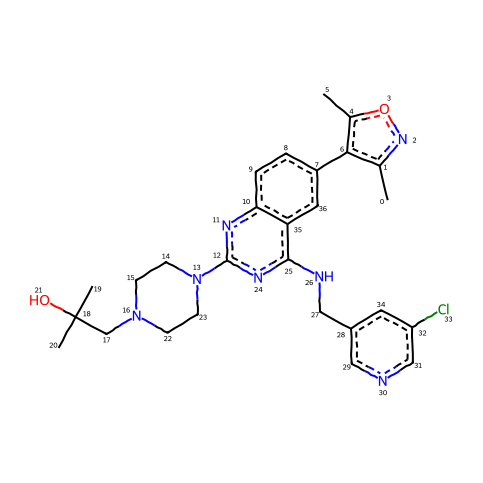 Cc1noc(C)c1-c1ccc2nc(N3CCN(CC(C)(C)O)CC3)nc(NCc3cncc(Cl)c3)c2c1